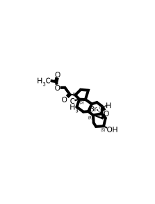 CC(=O)OCC(=O)[C@H]1CCC2C3C[C@H]4OC[C@@]5(CC[C@H](O)C[C@]45Br)C3CC[C@@]21C